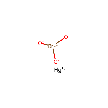 [Hg+].[O-][Br+2]([O-])[O-]